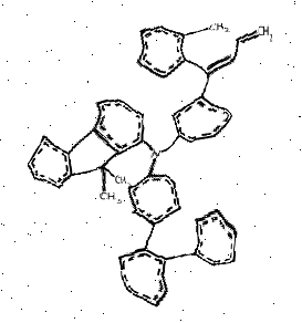 C=C/C=C(/c1cccc(N(c2ccc(-c3ccccc3-c3ccccc3)cc2)c2cccc3c2C(C)(C)c2ccccc2-3)c1)c1ccccc1C